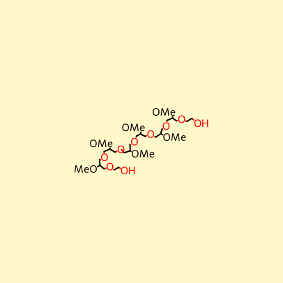 COC(COCCO)COCC(COCC(COCC(COCC(COCC(COCCO)OC)OC)OC)OC)OC